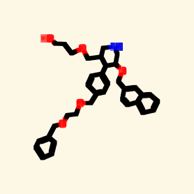 OCCCOCC1CNCC(OCc2ccc3ccccc3c2)C1c1ccc(COCCOCc2ccccc2)cc1